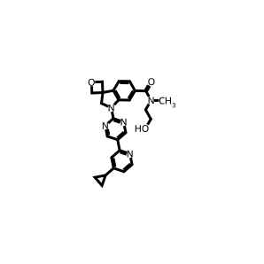 CN(CCO)C(=O)c1ccc2c(c1)N(c1ncc(-c3cc(C4CC4)ccn3)cn1)CC21COC1